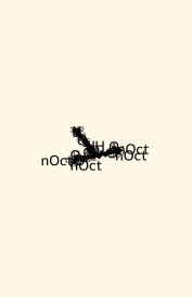 CCCCCCCCC(CCCCCCCC)C(=O)OCCCCC(CCCCOC(=O)C(CCCCCCCC)CCCCCCCC)OC(=O)NCCOCCN(C)C